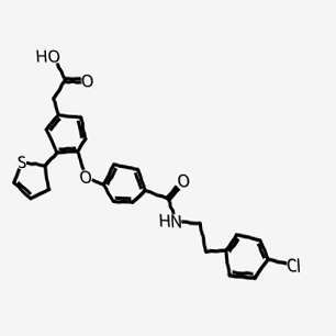 O=C(O)Cc1ccc(Oc2ccc(C(=O)NCCc3ccc(Cl)cc3)cc2)c(C2CC=CS2)c1